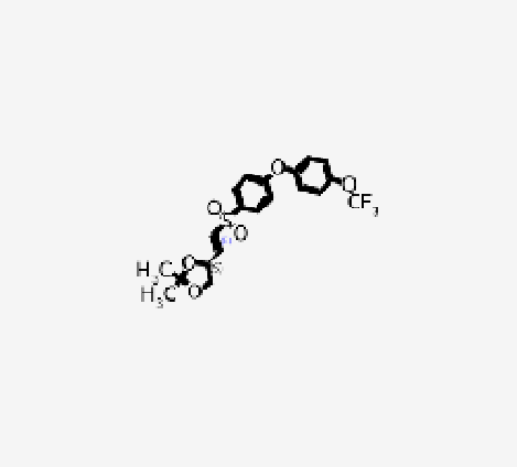 CC1(C)OC[C@H](/C=C/S(=O)(=O)c2ccc(Oc3ccc(OC(F)(F)F)cc3)cc2)O1